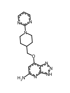 Nc1cc(OCC2CCN(c3ncccn3)CC2)c2nn[nH]c2n1